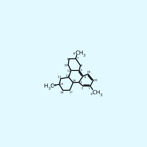 CC1=CC2C(=C3CC(C)CCC3C3CC(C)CCC23)C=C1